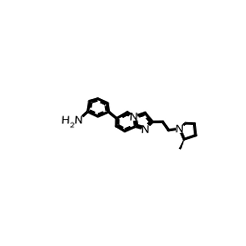 C[C@@H]1CCCN1CCc1cn2cc(-c3cccc(N)c3)ccc2n1